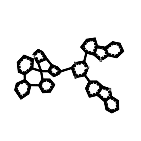 c1ccc2c(c1)-c1ccccc1C1(c3ccccc3-2)c2ccccc2-c2cc(-c3nc(-c4ccc5c(c4)oc4ccccc45)nc(-c4cccc5c4oc4ccccc45)n3)ccc21